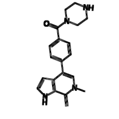 C=C1c2[nH]ccc2C(c2ccc(C(=O)N3CCNCC3)cc2)=CN1C